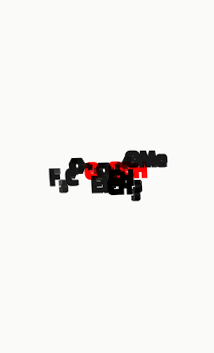 CCC(C)(C)c1cc(OCc2cccc(C(F)(F)F)c2)ccc1OCC(O)COC